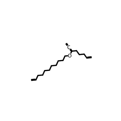 C=C=C(CCCC=C)OCCCCCCCCCC=C